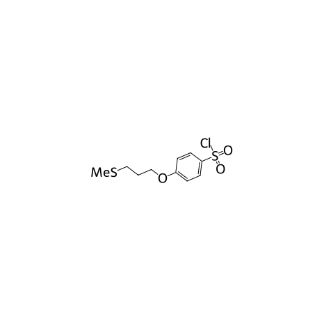 CSCCCOc1ccc(S(=O)(=O)Cl)cc1